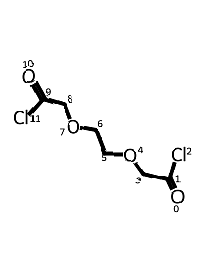 O=C(Cl)COCCOCC(=O)Cl